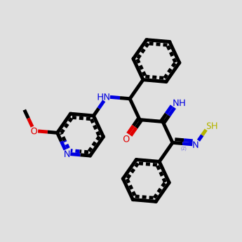 COc1cc(NC(C(=O)C(=N)/C(=N\S)c2ccccc2)c2ccccc2)ccn1